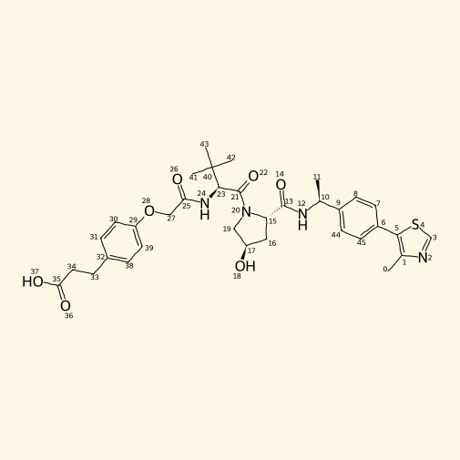 Cc1ncsc1-c1ccc([C@H](C)NC(=O)[C@@H]2C[C@@H](O)CN2C(=O)[C@@H](NC(=O)COc2ccc(CCC(=O)O)cc2)C(C)(C)C)cc1